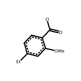 CCc1ccc(C(=O)Cl)c(OC)c1